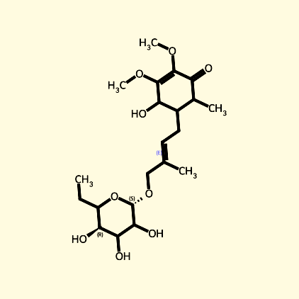 CCC1O[C@H](OC/C(C)=C/CC2C(C)C(=O)C(OC)=C(OC)C2O)C(O)C(O)[C@H]1O